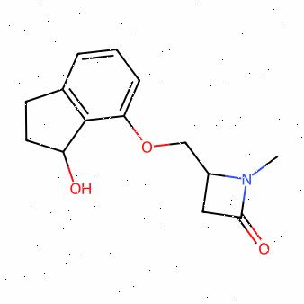 CN1C(=O)CC1COc1cccc2c1C(O)CC2